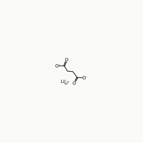 O=C([O-])CCC(=O)[O-].[Li+].[Li+]